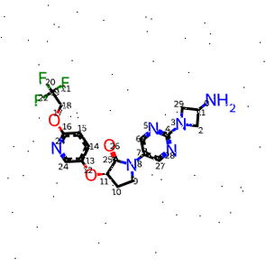 NC1CN(c2ncc(N3CC[C@@H](Oc4ccc(OCC(F)(F)F)nc4)C3=O)cn2)C1